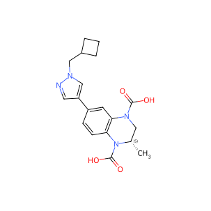 C[C@H]1CN(C(=O)O)c2cc(-c3cnn(CC4CCC4)c3)ccc2N1C(=O)O